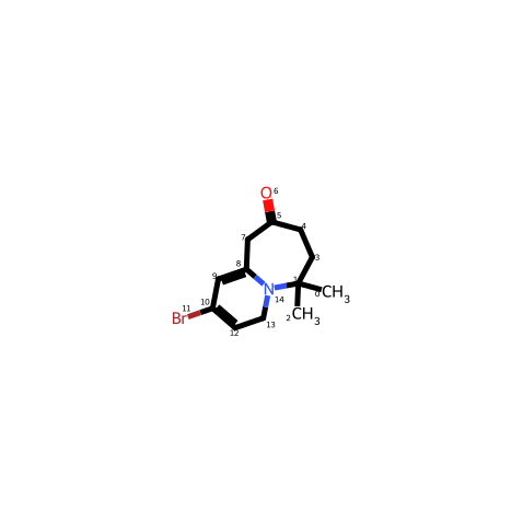 CC1(C)CCC(=O)CC2=CC(Br)=CCN21